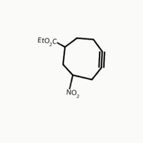 CCOC(=O)C1CCC#CCC([N+](=O)[O-])C1